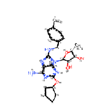 COc1ccc(CNc2nc3c(N)nc(OC4CCCC4)nc3n2C2O[C@H](C)[C@@H](O)[C@H]2O)cc1